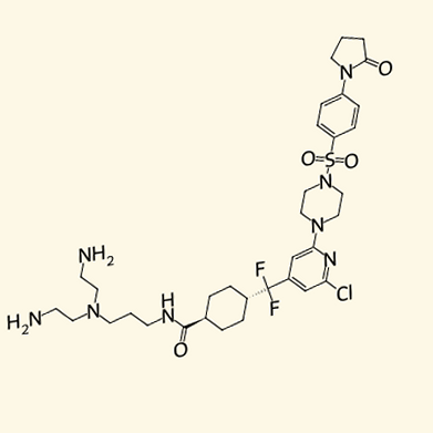 NCCN(CCN)CCCNC(=O)[C@H]1CC[C@H](C(F)(F)c2cc(Cl)nc(N3CCN(S(=O)(=O)c4ccc(N5CCCC5=O)cc4)CC3)c2)CC1